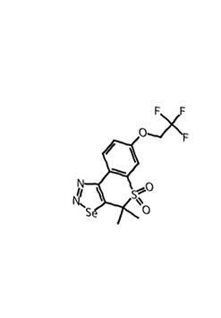 CC1(C)c2[se]nnc2-c2ccc(OCC(F)(F)F)cc2S1(=O)=O